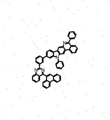 c1ccc(-c2nc3cc4c5ccc(-c6cccc(-c7nc(-c8cc9ccccc9c9ccccc89)c8ccccc8n7)c6)cc5n(-c5ccccc5)c4cc3c3ccccc23)cc1